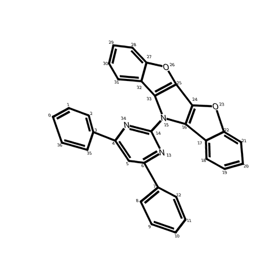 c1ccc(-c2cc(-c3ccccc3)nc(-n3c4c5ccccc5oc4c4oc5ccccc5c43)n2)cc1